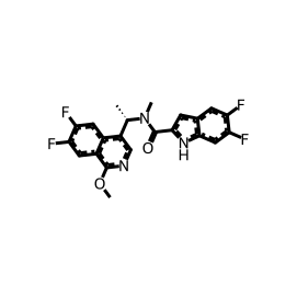 COc1ncc([C@H](C)N(C)C(=O)c2cc3cc(F)c(F)cc3[nH]2)c2cc(F)c(F)cc12